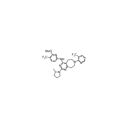 COc1nc(Nc2nc(N3CCCC3C)nc3c2CCN(c2ncccc2C(F)(F)F)CC3)ccc1C(F)(F)F